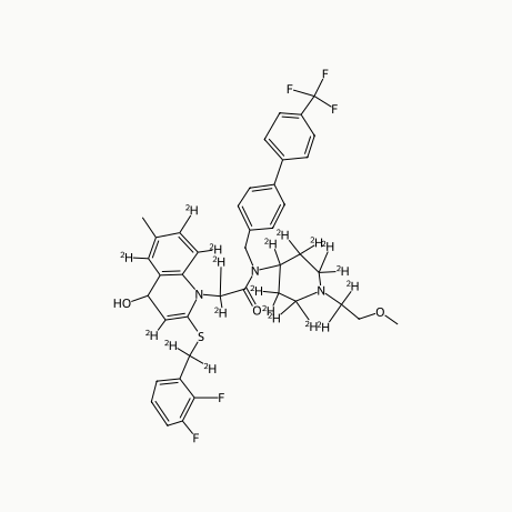 [2H]C1=C(SC([2H])([2H])c2cccc(F)c2F)N(C([2H])([2H])C(=O)N(Cc2ccc(-c3ccc(C(F)(F)F)cc3)cc2)C2([2H])C([2H])([2H])C([2H])([2H])N(C([2H])([2H])COC)C([2H])([2H])C2([2H])[2H])c2c([2H])c([2H])c(C)c([2H])c2C1O